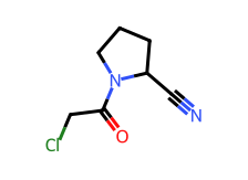 N#CC1CCCN1C(=O)CCl